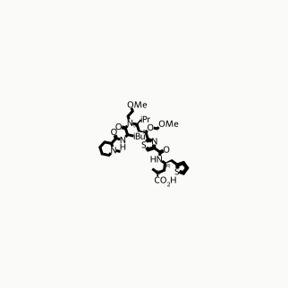 CCC(C)C(NC(=O)C1CCCCN1C)C(=O)N(CCOC)[C@H](C[C@@H](OCOC)c1nc(C(=O)N[C@@H](Cc2cccs2)C[C@H](C)C(=O)O)cs1)C(C)C